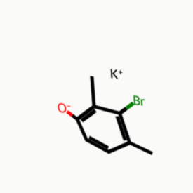 Cc1ccc([O-])c(C)c1Br.[K+]